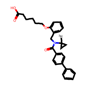 [2H]C1(N(Cc2ccccc2OCCCCCC(=O)O)C(=O)c2ccc(-c3ccccc3)cc2)CC1